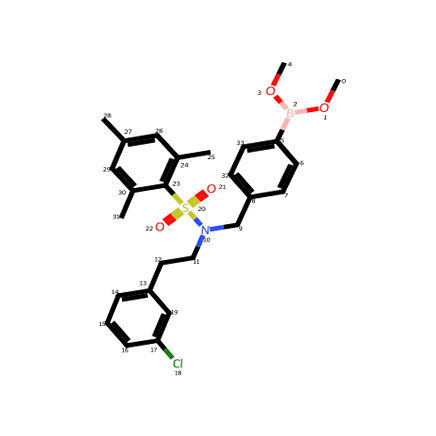 COB(OC)c1ccc(CN(CCc2cccc(Cl)c2)S(=O)(=O)c2c(C)cc(C)cc2C)cc1